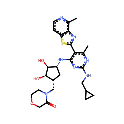 Cc1nc(NCC2CC2)nc(N[C@@H]2C[C@H](CN3CCOCC3=O)[C@@H](O)[C@H]2O)c1-c1nc2c(C)nccc2s1